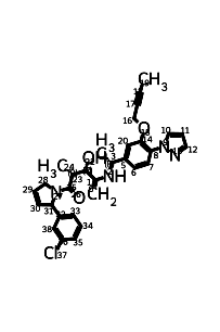 C=C(N[C@H](C)c1ccc(-n2cccn2)c(OCC#CC)c1)[C@H](O)[C@@H](C)C(=O)N1CC=CC1c1cccc(Cl)c1